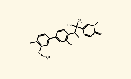 CC(c1ccc(-c2ccc(Cl)c(OC(=O)O)c2)cc1Cl)C(O)(c1ccc(=O)n(C)c1)C(F)(F)F